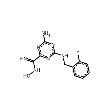 N=C(NO)c1nc(N)nc(NCc2ccccc2F)n1